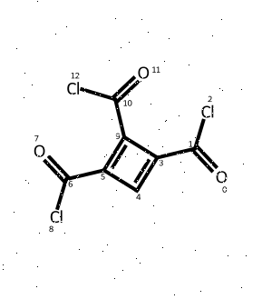 O=C(Cl)C1=CC(C(=O)Cl)=C1C(=O)Cl